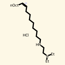 CCCCCCCC/C=C\CCCCCCCCNCCN(CC)CC.Cl